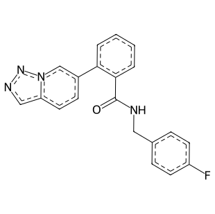 O=C(NCc1ccc(F)cc1)c1ccccc1-c1ccc2cnnn2c1